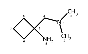 CN(C)CC1(N)CCC1